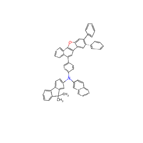 CC1(C)c2ccccc2-c2ccc(N(c3ccc(-c4cc5c6cc(-c7ccccc7)c(-c7ccccc7)cc6oc5c5ccccc45)cc3)c3ccc4ccccc4c3)cc21